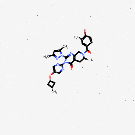 Cc1cc(C)n(-c2nc3c(c(=O)n2-c2ncc(O[C@H]4C[C@H](C)C4)cn2)CC(C)N(C(=O)c2ccc(Br)c(C(F)(F)F)c2)C3)n1